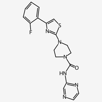 O=C(Nc1cnccn1)N1CCN(c2nc(-c3ccccc3F)cs2)CC1